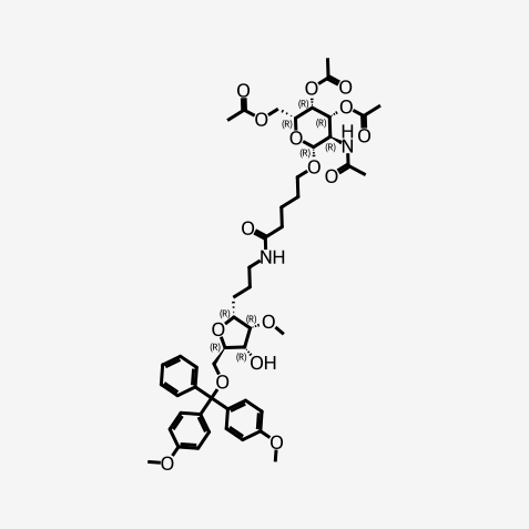 COc1ccc(C(OC[C@H]2O[C@H](CCCNC(=O)CCCCO[C@@H]3O[C@H](COC(C)=O)[C@H](OC(C)=O)[C@H](OC(C)=O)[C@H]3NC(C)=O)[C@H](OC)[C@@H]2O)(c2ccccc2)c2ccc(OC)cc2)cc1